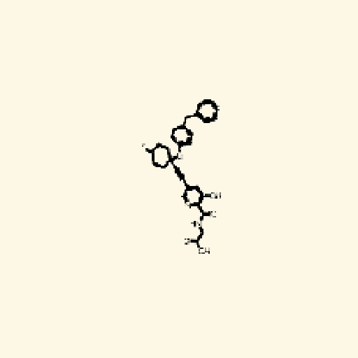 O=C(O)CNC(=O)c1ncc(C#CC2(Oc3ccc(Cc4ccccc4)cc3)CCC(F)CC2)cc1O